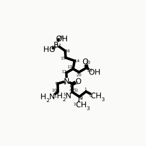 CC[C@H](C)[C@H](N)C(=O)N(CCN)CC(CCCB(O)O)CC(=O)O